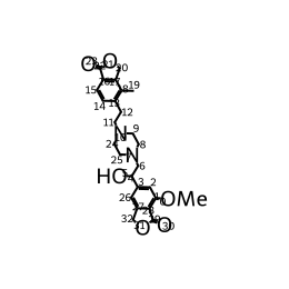 COc1cc(C(O)CN2CCN(CCc3ccc4c(c3C)COC4=O)CC2)cc2c1C(=O)OC2